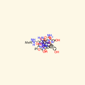 CNC(=N)NCCC[C@H](NC(=O)[C@H](CC(C)C)NC(=O)[C@H](CO)NC(=O)[C@H](Cc1ccccc1)NC(=O)[C@@H](NC(=O)[C@H](CC(N)=O)NC(=O)[C@@H]1C[C@@H](O)CN1C(=O)[C@@H](Cc1ccc(O)cc1)NC(C)=O)[C@@H](C)O)C(=O)N[C@@H](Cc1c[nH]c2ccccc12)C(N)=O